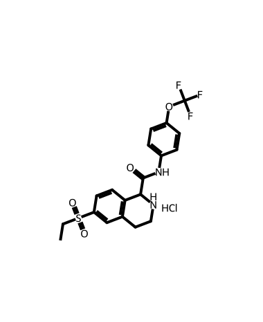 CCS(=O)(=O)c1ccc2c(c1)CCNC2C(=O)Nc1ccc(OC(F)(F)F)cc1.Cl